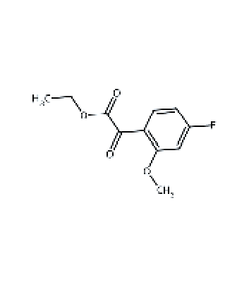 CCOC(=O)C(=O)c1ccc(F)cc1OC